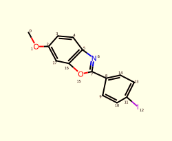 COc1ccc2nc(-c3ccc(I)cc3)oc2c1